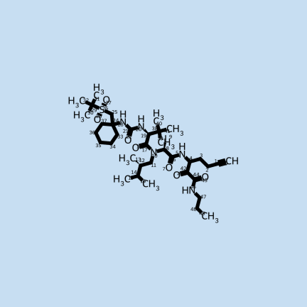 C#CCCC(NC(=O)[C@H](I)N(C[C@@H](C)C(C)C)C(=O)[C@@H](NC(=O)NC1(CS(=O)(=O)C(C)(C)C)CCCCC1)C(C)(C)C)C(=O)C(=O)NCCC